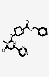 Cn1c(OC2CCN(C(=O)OCc3ccccc3)CC2)nc(-c2ccncn2)cc1=O